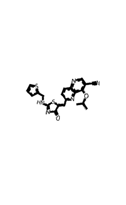 CC(C)Oc1c(C#N)cnc2ccc(/C=C3\SC(NCc4cccs4)=NC3=O)nc12